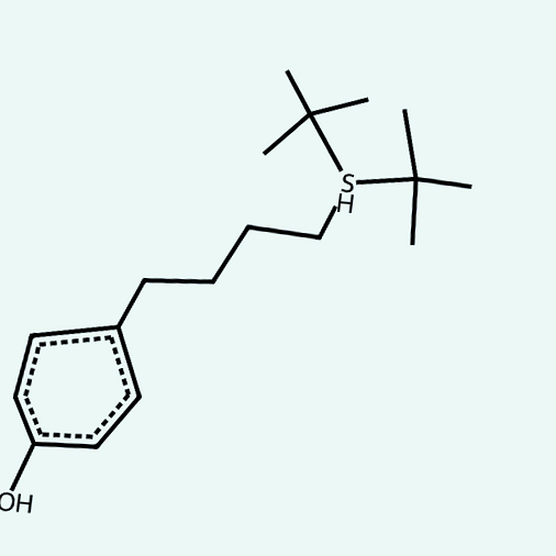 CC(C)(C)[SH](CCCCc1ccc(O)cc1)C(C)(C)C